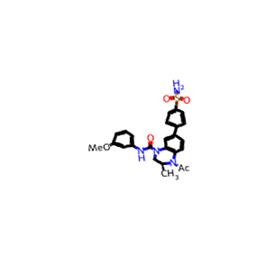 COc1cccc(NC(=O)N2C[C@H](C)N(C(C)=O)c3ccc(-c4ccc(S(N)(=O)=O)cc4)cc32)c1